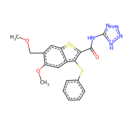 COCc1cc2sc(C(=O)Nc3nnn[nH]3)c(Sc3ccccc3)c2cc1OC